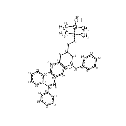 CC(C)(CCC1Cc2ncc(N=C(c3ccccc3)c3ccccc3)cc2N(Cc2ccccc2)C1)[Si](C)(C)O